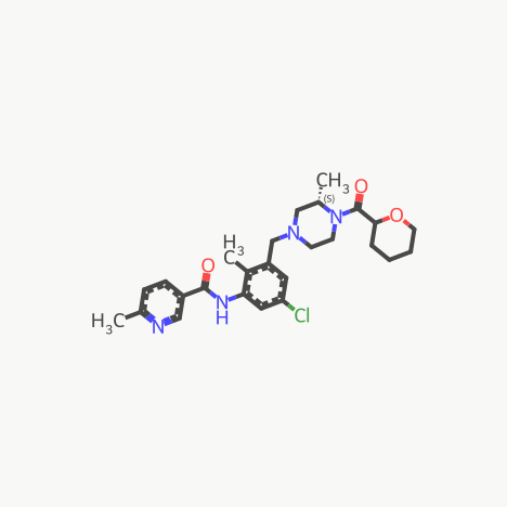 Cc1ccc(C(=O)Nc2cc(Cl)cc(CN3CCN(C(=O)C4CCCCO4)[C@@H](C)C3)c2C)cn1